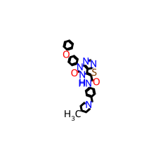 CC1CCN(Cc2ccc(NC(=O)c3sc4ncnc5c4c3NC(=O)N5c3ccc(Oc4ccccc4)cc3)cc2)CC1